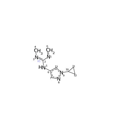 C=N/C(=N\C)Nc1cnn(C2CC2)c1